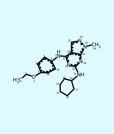 CCOc1ccc(Nc2nc(NC3CCCCC3)nc3c2cnn3C)cc1